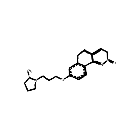 C[C@@H]1CCCN1CCCOc1ccc2c(c1)CCC1=CC[N+](=O)N=C12